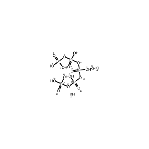 O=P(O)(O)OP(=O)(O)OP(=O)(O)OP(=O)(O)OP(=O)(O)O.[KH].[KH].[KH]